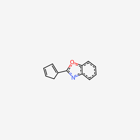 C1=CCC(c2nc3ccccc3o2)=C1